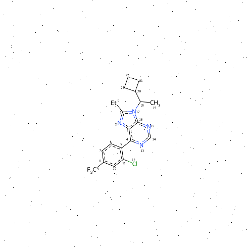 CCc1nc2c(-c3ccc(C(F)(F)F)cc3Cl)ncnc2n1C(C)C1CCC1